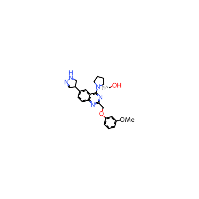 COc1cccc(OCc2nc(N3CCC[C@@H]3CO)c3cc(C4C=NNC4)ccc3n2)c1